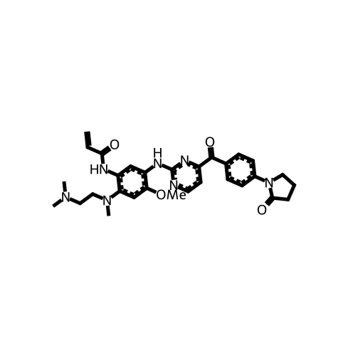 C=CC(=O)Nc1cc(Nc2nccc(C(=O)c3ccc(N4CCCC4=O)cc3)n2)c(OC)cc1N(C)CCN(C)C